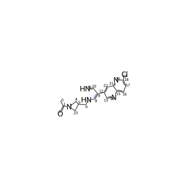 CC(=O)N1CC(CN/C=C(\C=N)c2cnc3ccc(Cl)nc3c2)C1